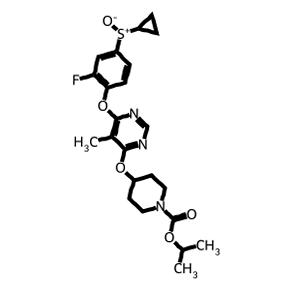 Cc1c(Oc2ccc([S+]([O-])C3CC3)cc2F)ncnc1OC1CCN(C(=O)OC(C)C)CC1